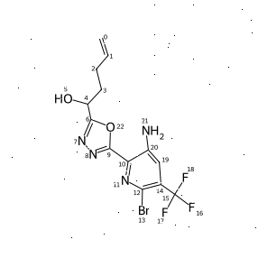 C=CCCC(O)c1nnc(-c2nc(Br)c(C(F)(F)F)cc2N)o1